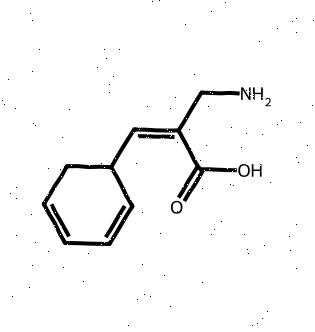 NCC(=CC1C=CC=CC1)C(=O)O